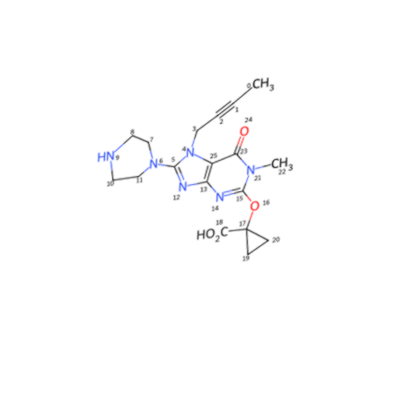 CC#CCn1c(N2CCNCC2)nc2nc(OC3(C(=O)O)CC3)n(C)c(=O)c21